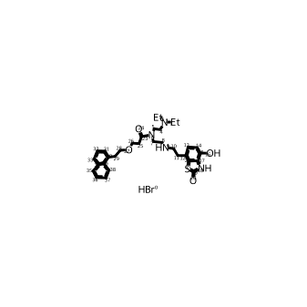 Br.CCN(CC)CCN(CCNCCc1ccc(O)c2[nH]c(=O)sc12)C(=O)CCOCCc1cccc2ccccc12